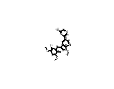 COc1cc(OC)c(F)c(Cc2cn(SF)c3ncc(-c4cncc(Br)n4)cc23)c1F